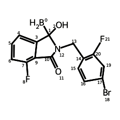 BC1(O)c2cccc(F)c2C(=O)N1Cc1ccc(Br)cc1F